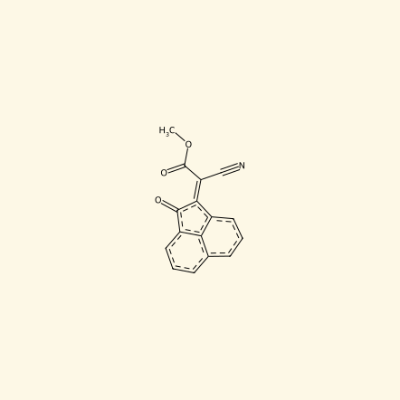 COC(=O)/C(C#N)=c1\c(=O)c2cccc3cccc1c32